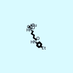 CCc1ccc(NC(=O)CCCCNS(=O)(=O)C(C)(C)C)cc1